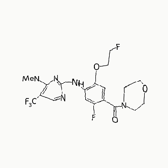 CNc1nc(Nc2cc(F)c(C(=O)N3CCOCC3)cc2OCCF)ncc1C(F)(F)F